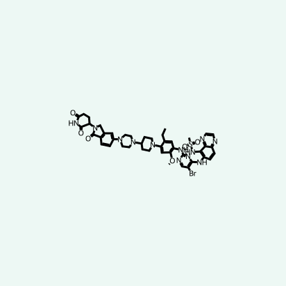 CCc1cc(Nc2ncc(Br)c(Nc3ccc4nccnc4c3NS(C)(=O)=O)n2)c(OC)cc1N1CCC(N2CCN(c3ccc4c(c3)CN(C3CCC(=O)NC3=O)C4=O)CC2)CC1